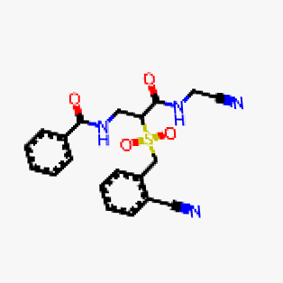 N#CCNC(=O)C(CNC(=O)c1ccccc1)S(=O)(=O)Cc1ccccc1C#N